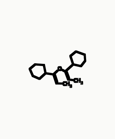 CC=C(OC(=CC)C1CCCCC1)C1CCCCC1